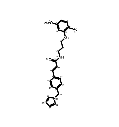 COc1ccc(C(C)=O)c(OCCCNC(=O)C=Cc2ccc(Cn3ccnc3)cc2)c1